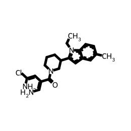 CCn1c(C2CCCN(C(=O)C(/C=C(\N)Cl)=C/N)C2)cc2cc(C)ccc21